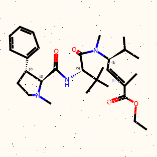 CCOC(=O)/C(C)=C/[C@H](C(C)C)N(C)C(=O)[C@@H](NC(=O)[C@@H]1[C@@H](c2ccccc2)CCN1C)C(C)(C)C